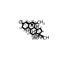 C#CC1(O)CC[C@H]2[C@@H]3C(C)CC4=CC(=O)CC[C@]4(C=O)[C@@H]3CC[C@@]21C